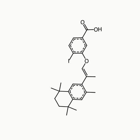 C/C(=C\Oc1cc(C(=O)O)ccc1I)c1cc2c(cc1C)C(C)(C)CCC2(C)C